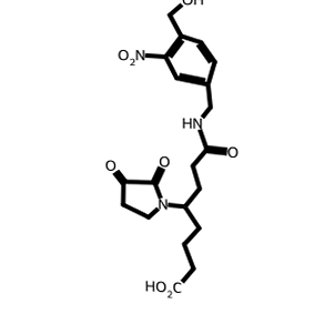 O=C(O)CCCC(CCC(=O)NCc1ccc(CO)c([N+](=O)[O-])c1)N1CCC(=O)C1=O